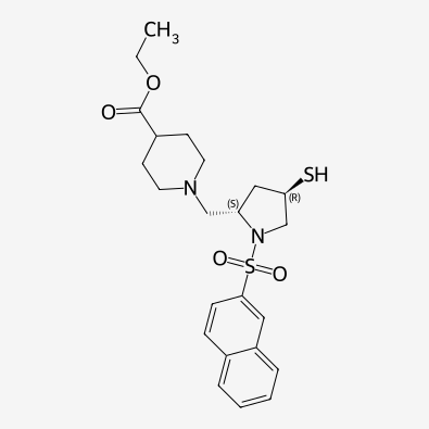 CCOC(=O)C1CCN(C[C@@H]2C[C@@H](S)CN2S(=O)(=O)c2ccc3ccccc3c2)CC1